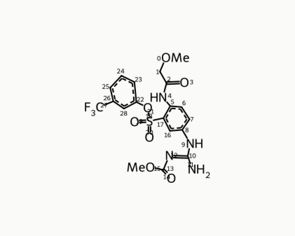 COCC(=O)Nc1ccc(NC(N)=NC(=O)OC)cc1S(=O)(=O)Oc1cccc(C(F)(F)F)c1